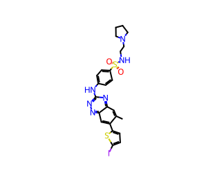 Cc1cc2nc(Nc3ccc(S(=O)(=O)NCCN4CCCC4)cc3)nnc2cc1-c1ccc(I)s1